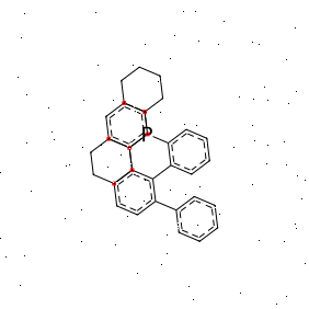 c1ccc(-c2cccc(-c3ccccc3)c2-c2ccccc2P(C2CCCCC2)C2CCCCC2)cc1